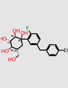 CCc1ccc(Cc2ccc(F)c([C@]3(O)C[C@H](CO)[C@@H](O)[C@H](O)[C@H]3O)c2)cc1